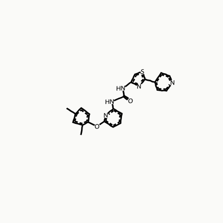 Cc1ccc(Oc2cccc(NC(=O)Nc3csc(-c4ccncc4)n3)n2)c(C)c1